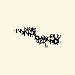 CN/C(=C\C=N)Nc1nccc(-c2cc3n(c2)CCN([C@H](C)C(=O)N[C@H](CO)c2cccc(C)c2)C3=O)n1